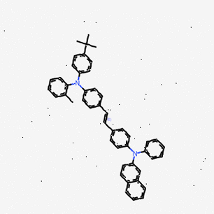 Cc1ccccc1N(c1ccc(/C=C/c2ccc(N(c3ccccc3)c3ccc4ccccc4c3)cc2)cc1)c1ccc(C(C)(C)C)cc1